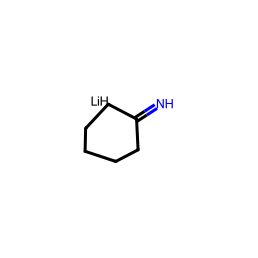 N=C1CCCCC1.[LiH]